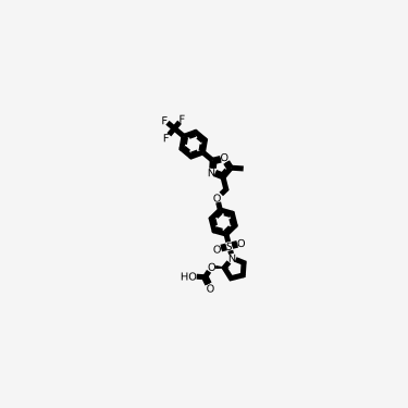 Cc1oc(-c2ccc(C(F)(F)F)cc2)nc1COc1ccc(S(=O)(=O)N2CCC[C@H]2OC(=O)O)cc1